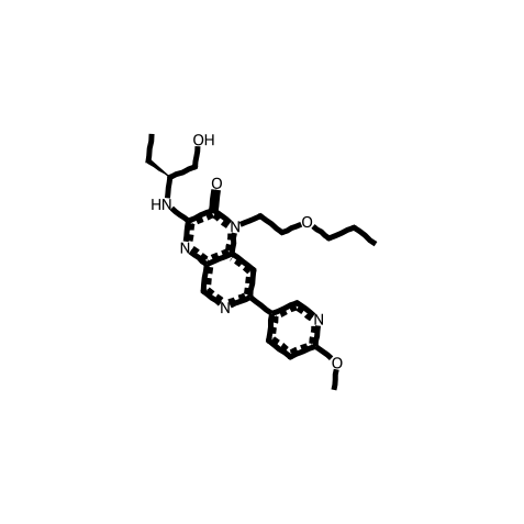 CCCOCCn1c(=O)c(N[C@@H](CC)CO)nc2cnc(-c3ccc(OC)nc3)cc21